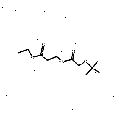 CCOC(=O)CCNC(=O)COC(C)(C)C